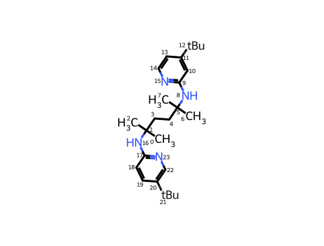 CC(C)(CCC(C)(C)Nc1cc(C(C)(C)C)ccn1)Nc1ccc(C(C)(C)C)cn1